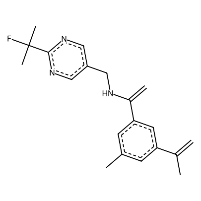 C=C(C)c1cc(C)cc(C(=C)NCc2cnc(C(C)(C)F)nc2)c1